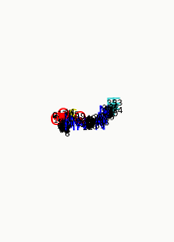 COC(C)c1ccc(C)cc1N1C(=O)CS/C1=N\C(=O)Nc1ccc(-c2cn(-c3ccc(C(F)(F)F)cn3)cn2)cc1